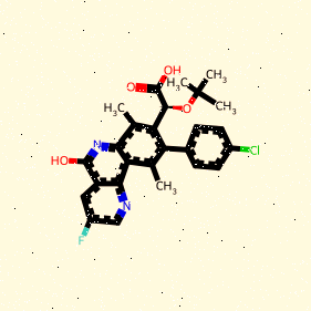 Cc1c([C@H](OC(C)(C)C)C(=O)O)c(-c2ccc(Cl)cc2)c(C)c2c1nc(O)c1cc(F)cnc12